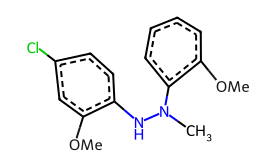 COc1cc(Cl)ccc1NN(C)c1ccccc1OC